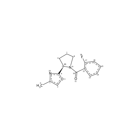 Cc1coc([C@H]2CCCN2C(=O)c2ccccc2F)n1